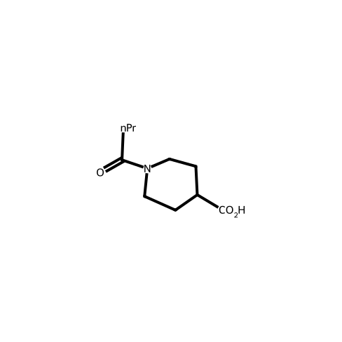 CCCC(=O)N1CCC(C(=O)O)CC1